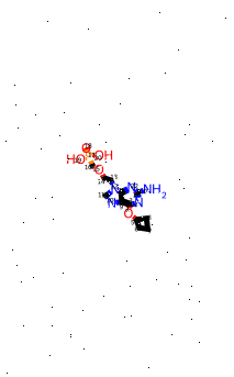 Nc1nc(OC2CCC2)c2ncn(CCOCP(=O)(O)O)c2n1